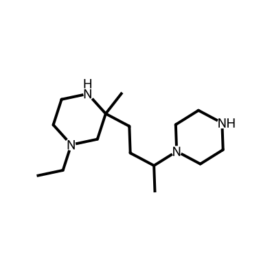 CCN1CCNC(C)(CCC(C)N2CCNCC2)C1